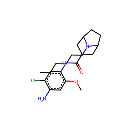 CCCCCCN1C2CCC1CC(C(=O)Nc1cc(Cl)c(N)cc1OC)C2